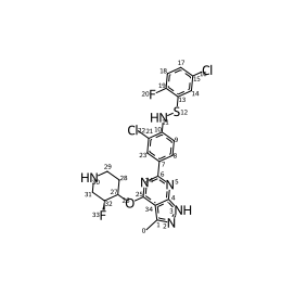 Cc1n[nH]c2nc(-c3ccc(NSc4cc(Cl)ccc4F)c(Cl)c3)nc(OC3CCNC[C@@H]3F)c12